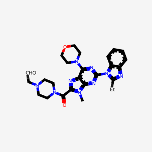 CCc1nc2ccccc2n1-c1nc(N2CCOCC2)c2nc(C(=O)N3CCN(CC=O)CC3)n(C)c2n1